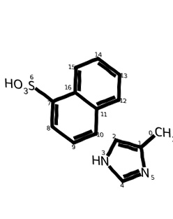 Cc1c[nH]cn1.O=S(=O)(O)c1cccc2ccccc12